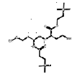 CCSCC[C@@H](CN[C@H](CCO)C(=O)OCC[Si](C)(C)C)NC(=O)CC[Si](C)(C)C